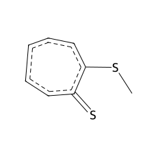 CSc1cccccc1=S